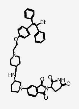 CCC(=C(c1ccccc1)c1ccc(OCCN2CCC(CN[C@@H]3CCCN(c4ccc5c(c4)C(=O)N(C4CCC(=O)NC4=O)C5=O)C3)CC2)cc1)c1ccccc1